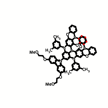 COCCOc1ccc2c(c1)c1cc(OCCOC)ccc1n2-c1cc2c3c(c1)N(c1cc(C)cc(C)c1)c1cc4c5c(c1B3c1c(cc3c6c1Oc1ccccc1B6c1ccccc1O3)N2c1cc(C)cc(C)c1)Oc1ccccc1B5c1ccccc1O4